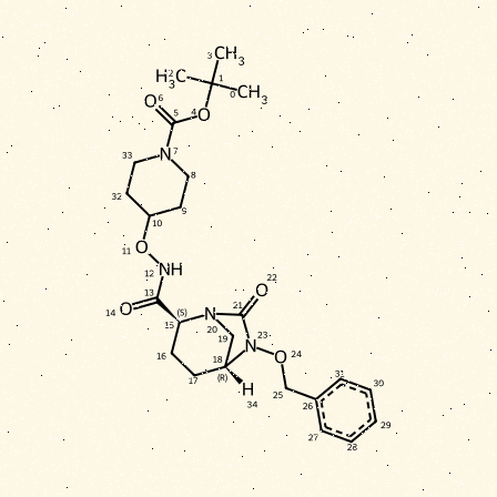 CC(C)(C)OC(=O)N1CCC(ONC(=O)[C@@H]2CC[C@@H]3CN2C(=O)N3OCc2ccccc2)CC1